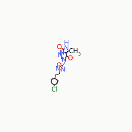 Cc1[nH]c(=O)n2ncn(Cc3nc(CCc4ccc(Cl)cc4)no3)c(=O)c12